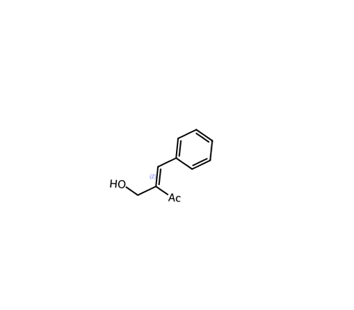 CC(=O)/C(=C\c1ccccc1)CO